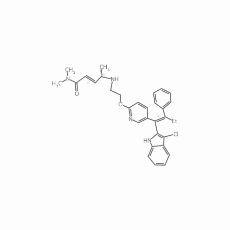 CC/C(=C(/c1ccc(OCCN[C@H](C)/C=C/C(=O)N(C)C)nc1)c1[nH]c2ccccc2c1Cl)c1ccccc1